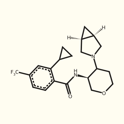 O=C(N[C@@H]1COCCC1N1C[C@H]2C[C@H]2C1)c1ccc(C(F)(F)F)cc1C1CC1